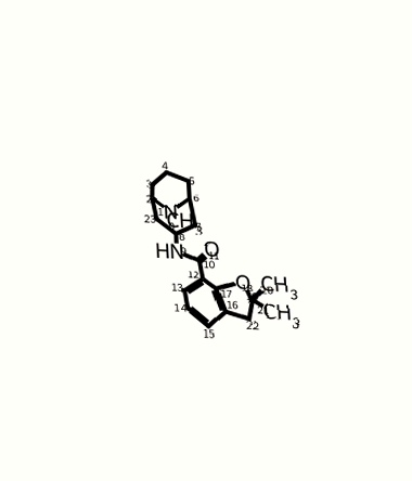 CN1C2CCCC1CC(NC(=O)c1cccc3c1OC(C)(C)C3)C2